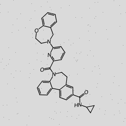 O=C(NC1CC1)c1ccc2c(c1)CCN(C(=O)c1cccc(N3CCOc4ccccc4C3)n1)c1ccccc1-2